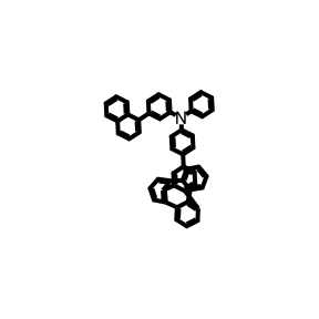 c1ccc(N(c2ccc(-c3ccc4c(c3)-c3c5cccc3-c3cccc-4c3-c3ccccc3-5)cc2)c2cccc(-c3cccc4ccccc34)c2)cc1